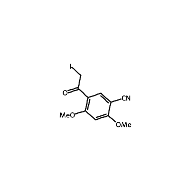 COc1cc(OC)c(C(=O)CI)cc1C#N